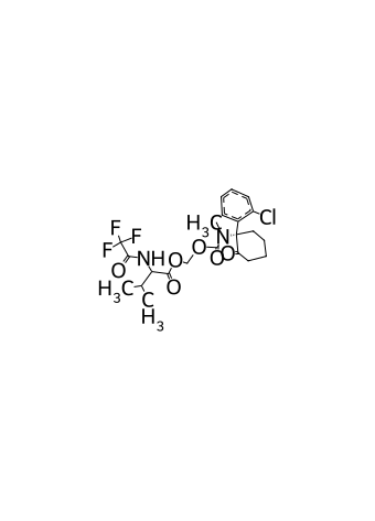 CC(C)C(NC(=O)C(F)(F)F)C(=O)OCOC(=O)N(C)[C@]1(c2ccccc2Cl)CCCCC1=O